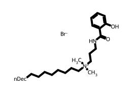 CCCCCCCCCCCCCCCCCC[N+](C)(C)CCCNC(=O)c1ccccc1O.[Br-]